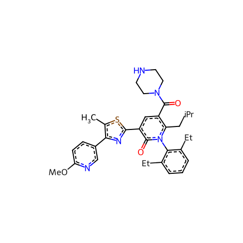 CCc1cccc(CC)c1-n1c(CC(C)C)c(C(=O)N2CCNCC2)cc(-c2nc(-c3ccc(OC)nc3)c(C)s2)c1=O